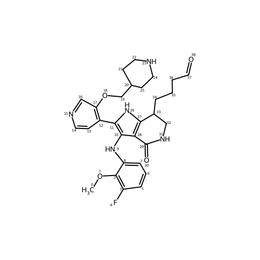 COc1c(F)cccc1Nc1c(-c2ccncc2OCC2CCNCC2)[nH]c2c1C(=O)NCC2CCCC=O